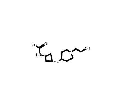 CCC(=O)N[C@H]1C[C@H](OC2CCN(CCO)CC2)C1